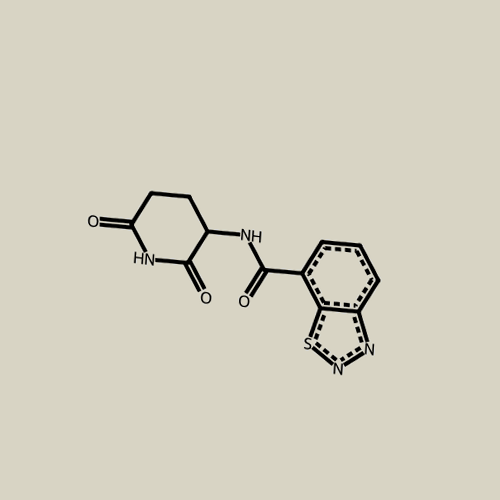 O=C1CCC(NC(=O)c2cccc3nnsc23)C(=O)N1